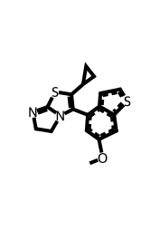 COc1cc(C2=C(C3CC3)SC3=NCCN32)c2ccsc2c1